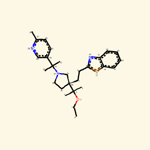 CCOC(C)(C)[C@]1(CCc2nc3ccccc3s2)CCN(C(C)(C)c2ccc(C)nc2)C1